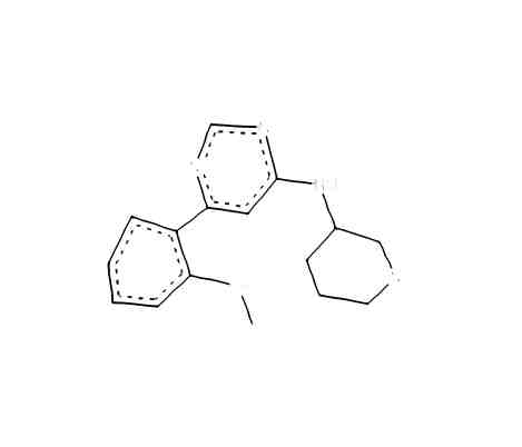 COc1ccccc1-c1cc(NC2CCCNC2)ncn1